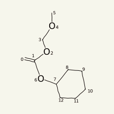 C=C(OCOC)OC1CCCCC1